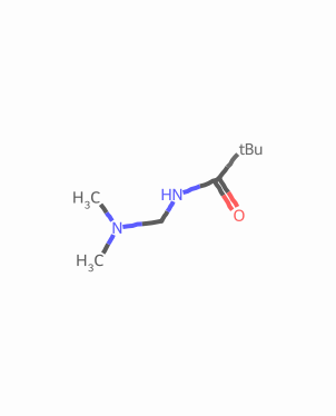 CN(C)CNC(=O)C(C)(C)C